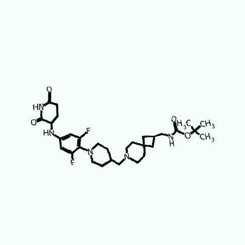 CC(C)(C)OC(=O)NCC1CC2(CCN(CC3CCN(c4c(F)cc(NC5CCC(=O)NC5=O)cc4F)CC3)CC2)C1